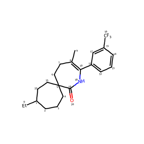 CCC1CCCC2(CCC(C)=C(c3cccc(C(F)(F)F)c3)NC2=O)CC1